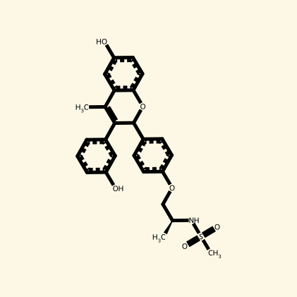 CC1=C(c2cccc(O)c2)C(c2ccc(OC[C@H](C)NS(C)(=O)=O)cc2)Oc2ccc(O)cc21